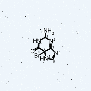 NC1N=C2N=CNC2(Br)C(=O)N1